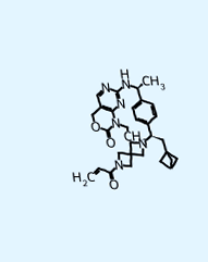 C=CC(=O)N1CC2(C1)CN([C@H](CC13CC(C1)C3)c1ccc([C@H](C)Nc3ncc4c(n3)N(CC)C(=O)OC4)cc1)C2